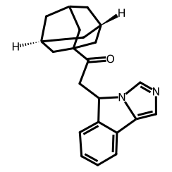 O=C(CC1c2ccccc2-c2cncn21)C12CC3C[C@H](C1)C[C@H](C3)C2